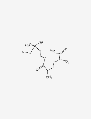 COC(=O)C(C)CCC(C)C(=O)OCCC(C)(O)CC(C)=O